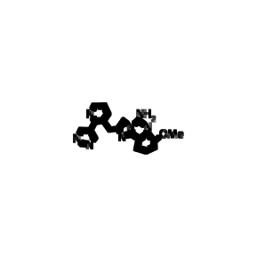 COc1cccc2c1nc(N)n1cc(Cc3cccnc3-c3cncnc3)nc21